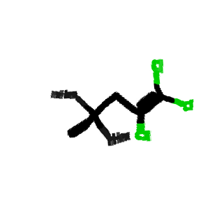 CCCCCCC(C)(CCCCCC)CC(Cl)=C(Cl)Cl